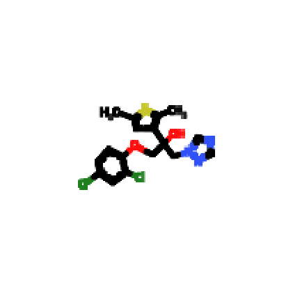 Cc1cc(C(O)(COc2ccc(Cl)cc2Cl)Cn2cncn2)c(C)s1